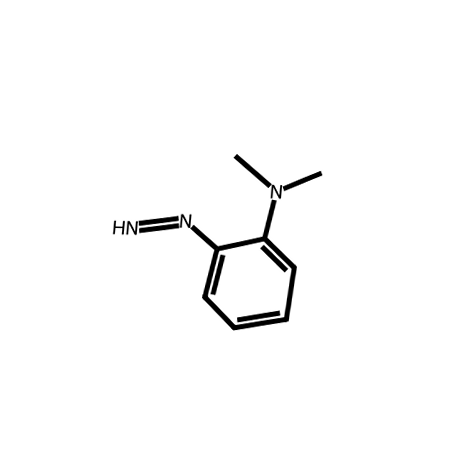 CN(C)c1ccccc1N=N